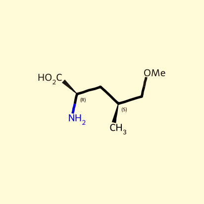 COC[C@@H](C)C[C@@H](N)C(=O)O